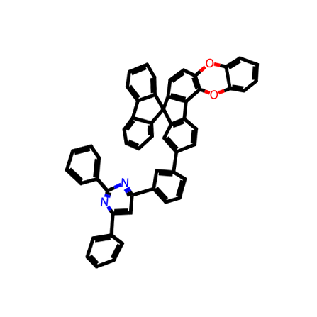 c1ccc(-c2cc(-c3cccc(-c4ccc5c(c4)C4(c6ccccc6-c6ccccc64)c4ccc6c(c4-5)Oc4ccccc4O6)c3)nc(-c3ccccc3)n2)cc1